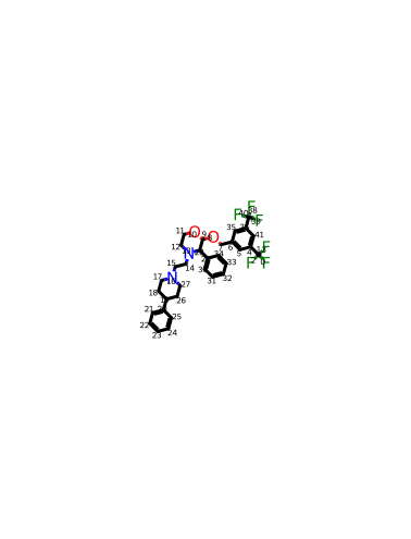 FC(F)(F)c1cc(COC2OCCN(CCN3CCC(c4ccccc4)CC3)C2c2ccccc2)cc(C(F)(F)F)c1